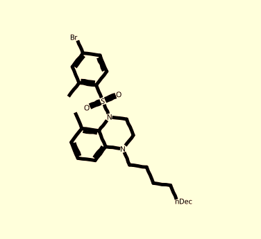 CCCCCCCCCCCCCCN1CCN(S(=O)(=O)c2ccc(Br)cc2C)c2c(C)cccc21